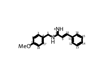 COc1ccc(CNC(=N)/C=C/c2ccccc2)cc1